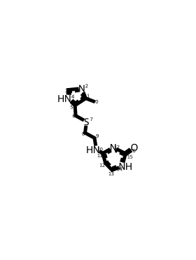 Cc1nc[nH]c1CSCCNc1cc[nH]c(=O)n1